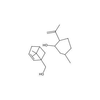 C=C(C)C1CCC(C)CC1O.CC1(C)C2CC=CC1(CO)C2